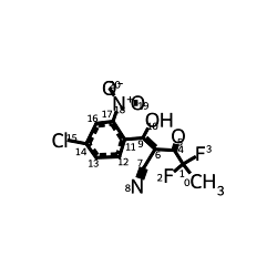 CC(F)(F)C(=O)/C(C#N)=C(\O)c1ccc(Cl)cc1[N+](=O)[O-]